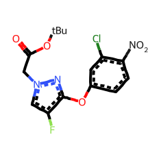 CC(C)(C)OC(=O)Cn1cc(F)c(Oc2ccc([N+](=O)[O-])c(Cl)c2)n1